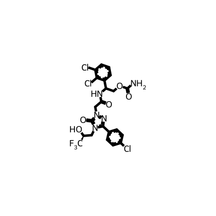 NC(=O)OCC(NC(=O)Cn1nc(-c2ccc(Cl)cc2)n(C[C@H](O)C(F)(F)F)c1=O)c1cccc(Cl)c1Cl